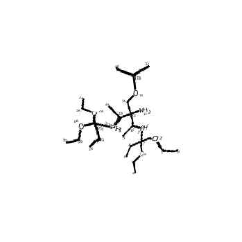 CCOC(CC)(OCC)PC(C)C(N)(COC(C)C)C(C)PC(CC)(OCC)OCC